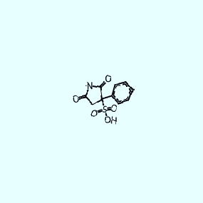 O=C1CC(c2ccccc2)(S(=O)(=O)O)C(=O)[N]1